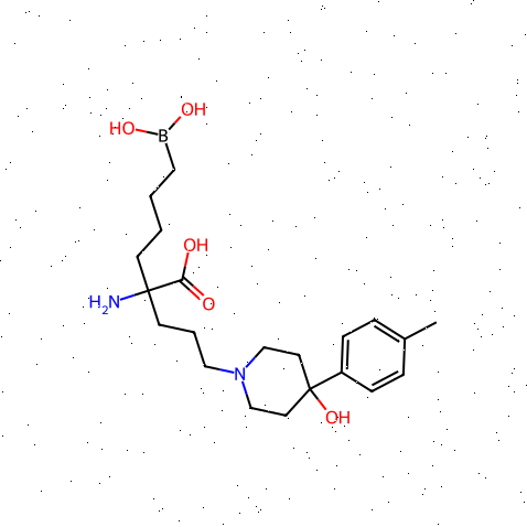 Cc1ccc(C2(O)CCN(CCCC(N)(CCCCB(O)O)C(=O)O)CC2)cc1